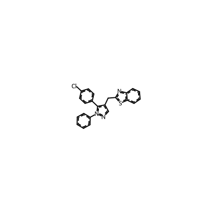 Clc1ccc(-c2c(Cc3nc4ccccc4s3)cnn2-c2ccccc2)cc1